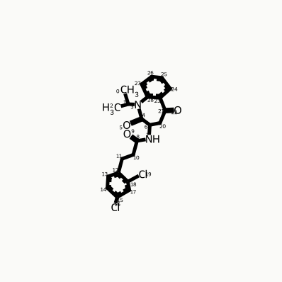 CC(C)N1C(=O)C(NC(=O)CCc2ccc(Cl)cc2Cl)CC(=O)c2ccccc21